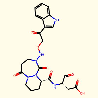 O=C[C@H](CC(=O)O)NC(=O)[C@@H]1CCCN2C(=O)CCN(NOCC(=O)c3c[nH]c4ccccc34)C(=O)N12